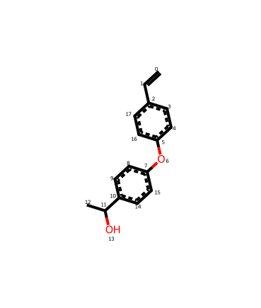 C=Cc1ccc(Oc2ccc(C(C)O)cc2)cc1